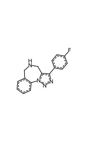 Fc1ccc(-c2nnn3c2CNCc2ccccc2-3)cc1